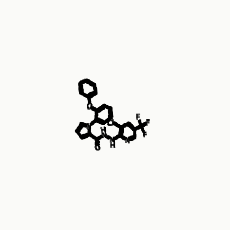 O=C(NNc1ncc(C(F)(F)F)cc1Cl)c1cccn1-c1ccccc1Oc1ccccc1